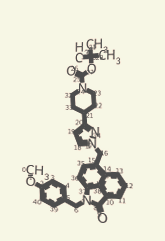 COc1ccc(CN2C(=O)c3cccc4c(Cn5ccc(C6CCN(C(=O)OC(C)(C)C)CC6)n5)ccc2c34)cc1